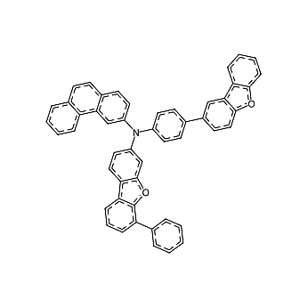 c1ccc(-c2cccc3c2oc2cc(N(c4ccc(-c5ccc6oc7ccccc7c6c5)cc4)c4ccc5ccc6ccccc6c5c4)ccc23)cc1